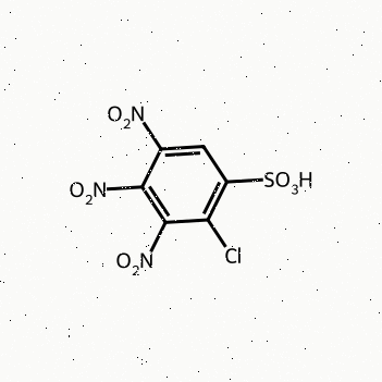 O=[N+]([O-])c1cc(S(=O)(=O)O)c(Cl)c([N+](=O)[O-])c1[N+](=O)[O-]